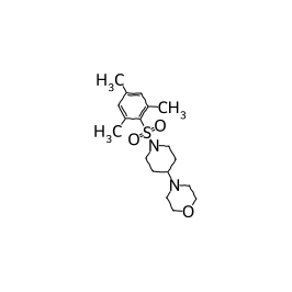 Cc1cc(C)c(S(=O)(=O)N2CCC(N3CCOCC3)CC2)c(C)c1